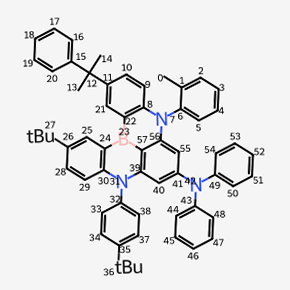 Cc1ccccc1N1c2ccc(C(C)(C)c3ccccc3)cc2B2c3cc(C(C)(C)C)ccc3N(c3ccc(C(C)(C)C)cc3)c3cc(N(c4ccccc4)c4ccccc4)cc1c32